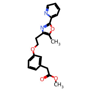 COC(=O)Cc1cccc(OCCc2nc(-c3ccccn3)oc2C)c1